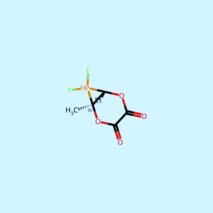 CCC12OC(=O)C(=O)O[C@@]1(C)[PH]2(F)F